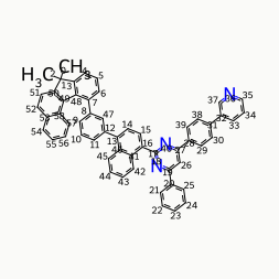 CC1(C)c2cccc(-c3cccc(-c4ccc(-c5nc(-c6ccccc6)cc(-c6ccc(-c7cccnc7)cc6)n5)c5ccccc45)c3)c2-c2c1ccc1ccccc21